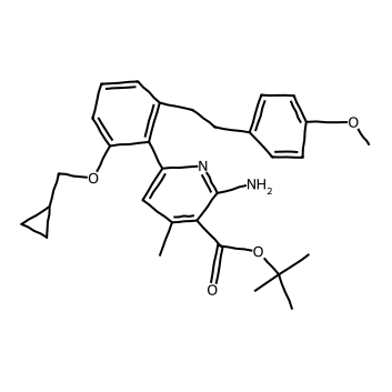 COc1ccc(CCc2cccc(OCC3CC3)c2-c2cc(C)c(C(=O)OC(C)(C)C)c(N)n2)cc1